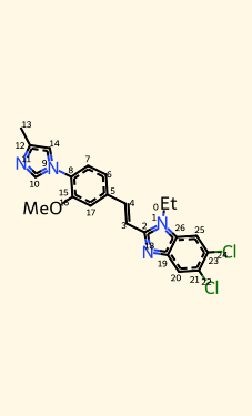 CCn1c(/C=C/c2ccc(-n3cnc(C)c3)c(OC)c2)nc2cc(Cl)c(Cl)cc21